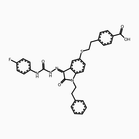 O=C(N/N=C1\C(=O)N(CCc2ccccc2)c2ccc(SCCc3ccc(C(=O)O)cc3)cc21)Nc1ccc(F)cc1